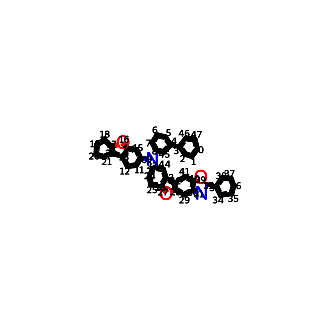 c1ccc(-c2cccc(N(c3ccc4c(c3)oc3ccccc34)c3ccc4oc5cc6nc(-c7ccccc7)oc6cc5c4c3)c2)cc1